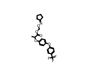 CC(Oc1ccc(Oc2ccc(C(F)(F)F)cc2)cc1)C(=O)OCON=C1CCCC1